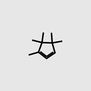 CC1=C=CC(C)(C)C1(C)C